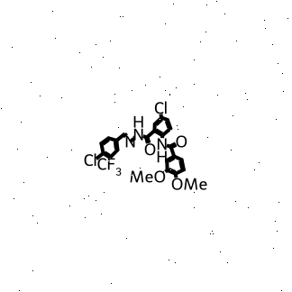 COc1ccc(C(=O)Nc2ccc(Cl)cc2C(=O)NN=Cc2ccc(Cl)c(C(F)(F)F)c2)cc1OC